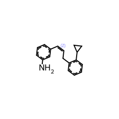 Nc1cccc(/C=C\Cc2ccccc2C2CC2)c1